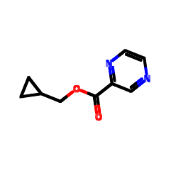 O=C(OCC1CC1)c1cnccn1